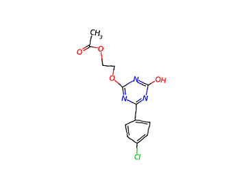 CC(=O)OCCOc1nc(O)nc(-c2ccc(Cl)cc2)n1